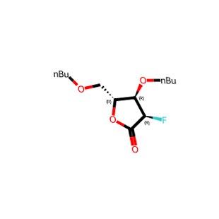 CCCCOC[C@H]1OC(=O)[C@H](F)[C@@H]1OCCCC